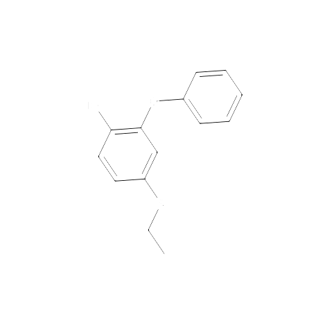 CCSc1ccc(O)c(Oc2ccccc2)c1